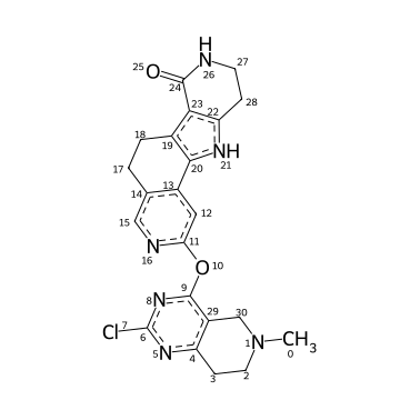 CN1CCc2nc(Cl)nc(Oc3cc4c(cn3)CCc3c-4[nH]c4c3C(=O)NCC4)c2C1